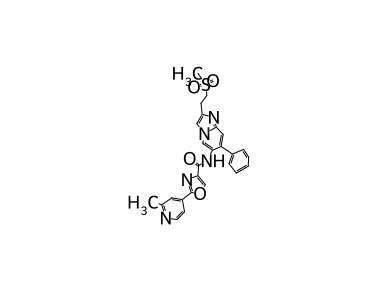 Cc1cc(-c2nc(C(=O)Nc3cn4cc(CCS(C)(=O)=O)nc4cc3-c3ccccc3)co2)ccn1